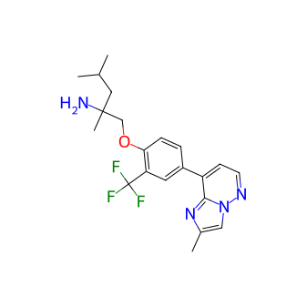 Cc1cn2nccc(-c3ccc(OCC(C)(N)CC(C)C)c(C(F)(F)F)c3)c2n1